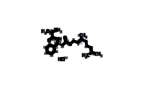 CC(C)=CCC/C(C)=C/COC(=O)C[C@@H](NC(=O)[C@@H](C)N)c1ccccc1.Cl